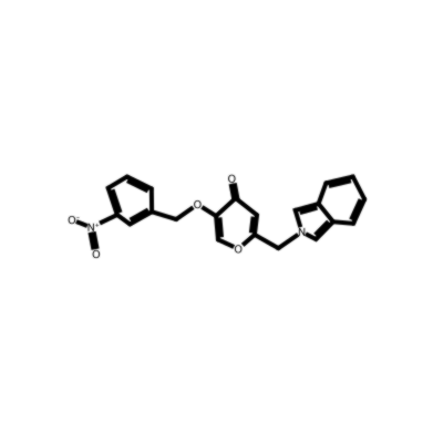 O=c1cc(Cn2cc3ccccc3c2)occ1OCc1cccc([N+](=O)[O-])c1